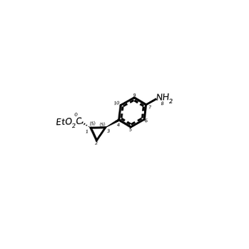 CCOC(=O)[C@H]1C[C@@H]1c1ccc(N)cc1